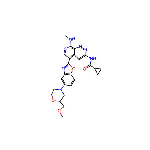 CNc1ncc(-c2nc3cc(N4CCOC(COC)C4)ccc3o2)c2cc(NC(=O)C3CC3)nnc12